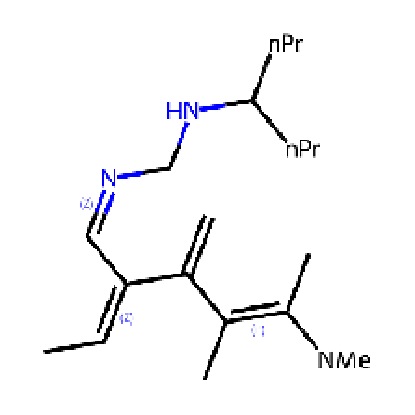 C=C(C(/C=N\CNC(CCC)CCC)=C/C)/C(C)=C(\C)NC